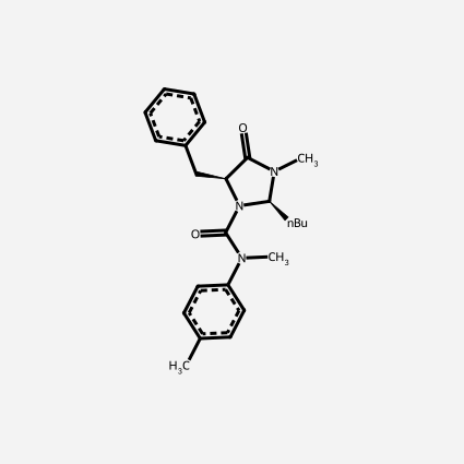 CCCC[C@@H]1N(C)C(=O)[C@H](Cc2ccccc2)N1C(=O)N(C)c1ccc(C)cc1